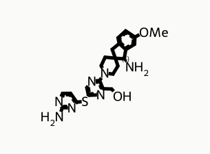 COc1ccc2c(c1)[C@@H](N)C1(CCN(c3ncc(Sc4ccnc(N)n4)nc3CO)CC1)C2